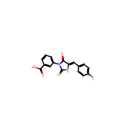 O=C(O)c1cccc(N2C(=O)C(=Cc3ccc(F)cc3)SC2=S)c1